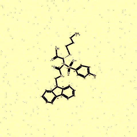 NCCCC[C@@H](C(=O)O)N(C(=O)OCC1c2ccccc2-c2ccccc21)S(=O)(=O)c1ccc(Br)cc1